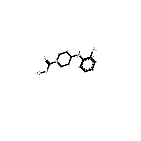 CC(C)(C)OC(=O)N1CCC(Nc2ccccc2C(C)(C)C)CC1